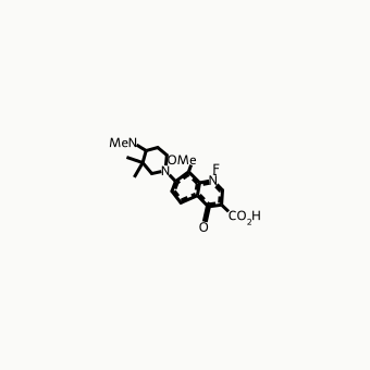 CNC1CCN(c2ccc3c(=O)c(C(=O)O)cn(F)c3c2OC)CC1(C)C